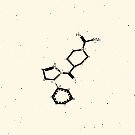 CNC(=N)N1CCC(C(=O)N2N=CC[C@H]2c2ccccc2)CC1